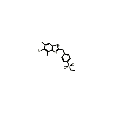 CCS(=O)(=O)c1ccc(Cc2nc3c(C)c(Br)c(C)cc3[nH]2)cc1